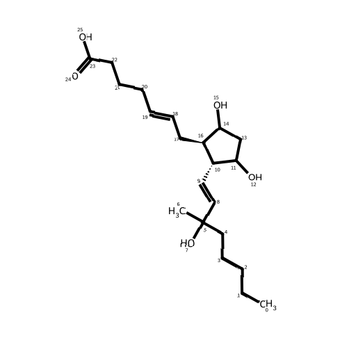 CCCCCC(C)(O)C=C[C@H]1C(O)CC(O)[C@@H]1CC=CCCCC(=O)O